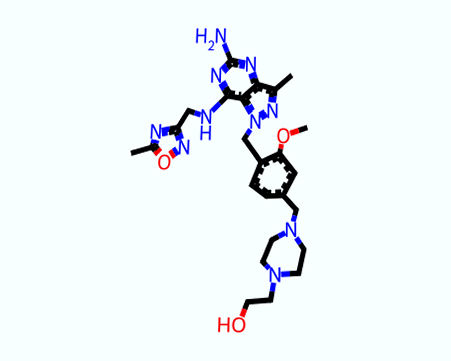 COc1cc(CN2CCN(CCO)CC2)ccc1Cn1nc(C)c2nc(N)nc(NCc3noc(C)n3)c21